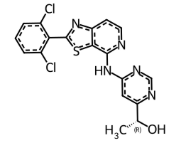 C[C@@H](O)c1cc(Nc2nccc3nc(-c4c(Cl)cccc4Cl)sc23)ncn1